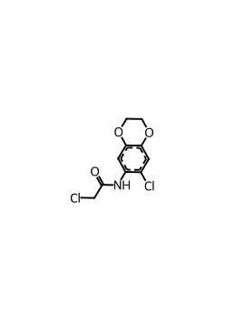 O=C(CCl)Nc1cc2c(cc1Cl)OCCO2